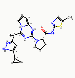 Cc1cnc(NC(=O)[C@@H]2CCCN2c2nc([AsH]c3cc(C4CC4)[nH]n3)n3cccc3n2)s1